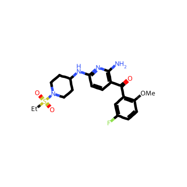 CCS(=O)(=O)N1CCC(Nc2ccc(C(=O)c3cc(F)ccc3OC)c(N)n2)CC1